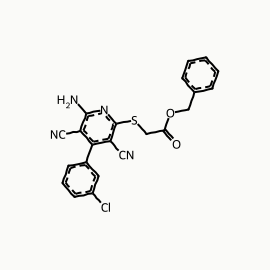 N#Cc1c(N)nc(SCC(=O)OCc2ccccc2)c(C#N)c1-c1cccc(Cl)c1